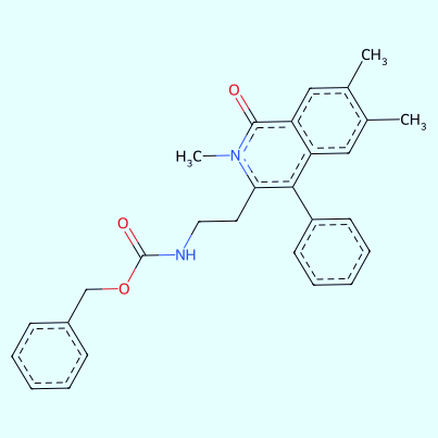 Cc1cc2c(-c3ccccc3)c(CCNC(=O)OCc3ccccc3)n(C)c(=O)c2cc1C